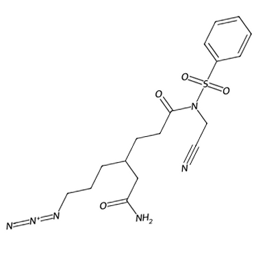 N#CCN(C(=O)CCC(CCCN=[N+]=[N-])CC(N)=O)S(=O)(=O)c1ccccc1